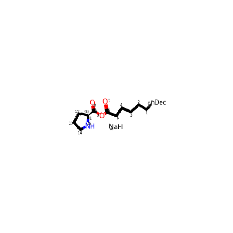 CCCCCCCCCCCCCCCC(=O)OC(=O)[C@@H]1CCCN1.[NaH]